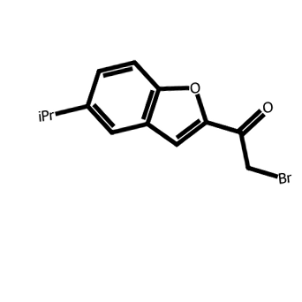 CC(C)c1ccc2oc(C(=O)CBr)cc2c1